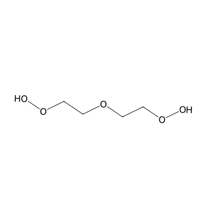 OOCCOCCOO